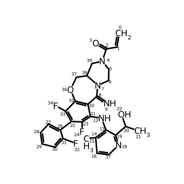 C=CC(=O)N1CCN2C(=N)c3c(Nc4c(C)ccnc4C(C)O)c(F)c(-c4ccccc4F)c(F)c3OCC2C1